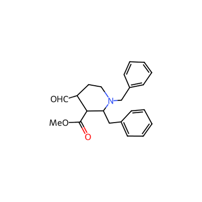 COC(=O)C1C(C=O)CCN(Cc2ccccc2)C1Cc1ccccc1